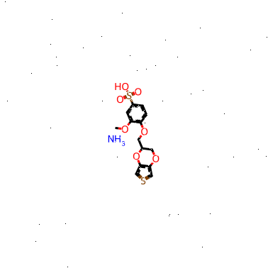 COc1cc(S(=O)(=O)O)ccc1OCC1COc2cscc2O1.N